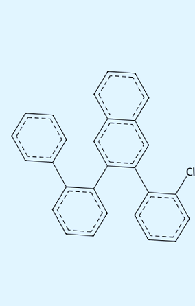 Clc1ccccc1-c1cc2ccccc2cc1-c1ccccc1-c1ccccc1